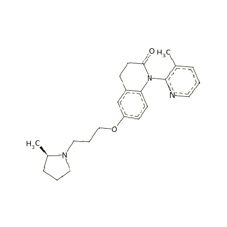 Cc1cccnc1N1C(=O)CCc2cc(OCCCN3CCC[C@H]3C)ccc21